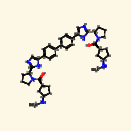 O=C(O)N[C@@H]1CC[C@H](C(=O)N2CCC[C@H]2c2ncc(-c3ccc(-c4ccc(-c5cnc([C@@H]6CCCN6C(=O)[C@H]6CC[C@@H](NC(=O)O)C6)[nH]5)cc4)cc3)[nH]2)C1